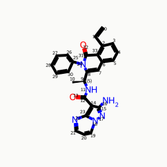 C=Cc1cccc2cc([C@H](C)NC(=O)c3c(N)nn4cccnc34)n(-c3ccccc3)c(=O)c12